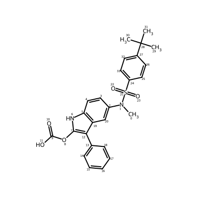 CN(c1ccc2[nH]c(OC(=O)O)c(-c3ccccc3)c2c1)S(=O)(=O)c1ccc(C(C)(C)C)cc1